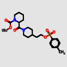 Cc1ccc(S(=O)(=O)OCCC2CCN(C(=O)C3CCCCN3C(=O)OC(C)(C)C)CC2)cc1